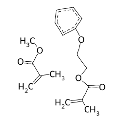 C=C(C)C(=O)OC.C=C(C)C(=O)OCCOc1ccccc1